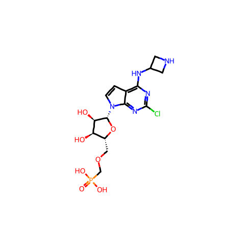 O=P(O)(O)COC[C@H]1O[C@@H](n2ccc3c(NC4CNC4)nc(Cl)nc32)[C@H](O)[C@@H]1O